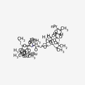 C=CCC[C@@H]1O[C@@H]([C@H](/C=C/C(=O)CC[C@H]2CC(=C)[C@H](CCC3C[C@@H](C)C(=C)[C@@H](CC4O[C@H]5C[C@@H](C)[C@@H](CCC)O[C@H]5[C@H](C)[C@H]4OC(=O)C=C)O3)O2)O[Si](C)(C)C(C)(C)C)[C@@H](O[Si](C)(C)C(C)(C)C)[C@@H](O[Si](C)(C)C(C)(C)C)[C@H]1C